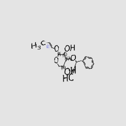 C#CC(O[C@@H]1[C@H](O)[C@@H](O/C=C/C)OC[C@H]1O)c1ccccc1